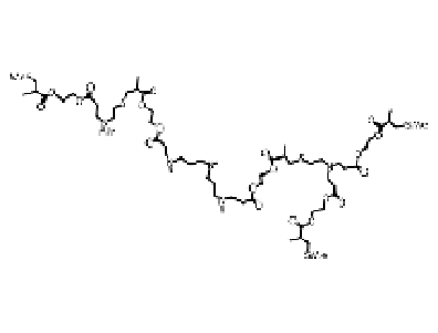 CCCN(CCSCC(C)C(=O)OCCOC(=O)CCN(C)CCCN(C)CCCN(C)CCC(=O)OCCOC(=O)C(C)CSCCN(CCC(=O)OCCOC(=O)C(C)CSC)CCC(=O)OCCOC(=O)C(C)CSC)CCC(=O)OCCOC(=O)C(C)CSC